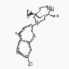 Clc1ccc2ncc(N3C[C@@H]4C[C@H]3CN4)nc2c1